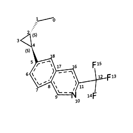 CC[C@H]1C[C@@H]1c1ccc2cnc(C(F)(F)F)cc2c1